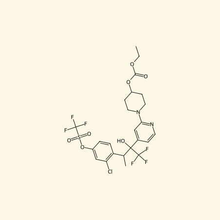 CCOC(=O)OC1CCN(c2cc(C(O)(C(C)c3ccc(OS(=O)(=O)C(F)(F)F)cc3Cl)C(F)(F)F)ccn2)CC1